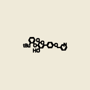 CC(C)(C)c1ccccc1Oc1c(O)cc(-c2ccc(OCc3cccnc3)cc2)oc1=O